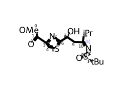 COC(=O)c1csc([C@H](O)C/C(=N\[S@@+]([O-])C(C)(C)C)C(C)C)n1